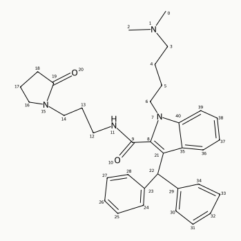 CN(C)CCCCn1c(C(=O)NCCCN2CCCC2=O)c(C(c2ccccc2)c2ccccc2)c2ccccc21